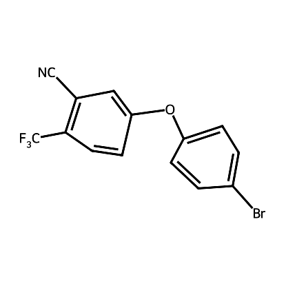 N#Cc1cc(Oc2ccc(Br)cc2)ccc1C(F)(F)F